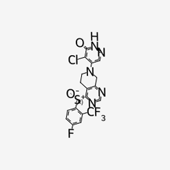 O=c1[nH]ncc(N2CCc3c(ncnc3[S@@+]([O-])c3ccc(F)cc3C(F)(F)F)C2)c1Cl